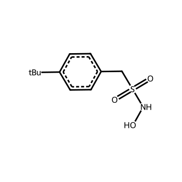 CC(C)(C)c1ccc(CS(=O)(=O)NO)cc1